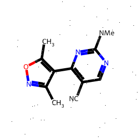 CNc1ncc(C#N)c(-c2c(C)noc2C)n1